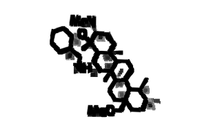 CN[C@@H]1CC[C@@]2(C)C(CC[C@]3(C)C2CC=C2C4[C@@H](C)[C@H](C)CC[C@]4(COC)CC[C@]23C)[C@]1(C)O[C@H]1CCCC[C@@H]1CN